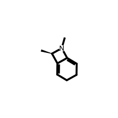 C[C@@H]1C2=CCCC=C2N1C